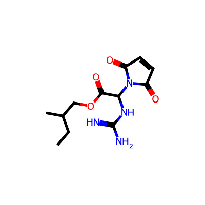 CCC(C)COC(=O)C(NC(=N)N)N1C(=O)C=CC1=O